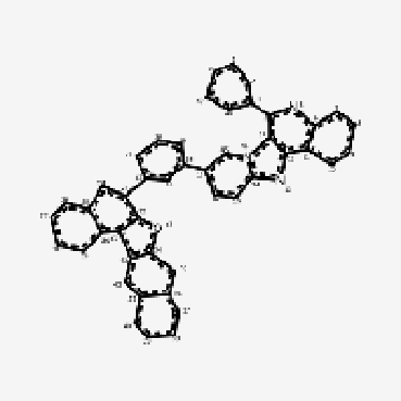 c1ccc(-c2nc3ccccc3c3nc4ccc(-c5cccc(-c6cc7ccccc7c7c6oc6cc8ccccc8cc67)c5)cn4c23)cc1